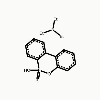 CCN(CC)CC.OP1(=S)Oc2ccccc2-c2ccccc21